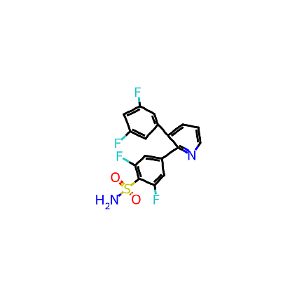 NS(=O)(=O)c1c(F)cc(-c2ncccc2-c2cc(F)cc(F)c2)cc1F